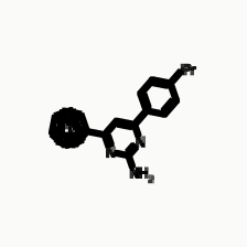 CC(C)c1ccc(-c2cc([C]34[CH]5[CH]6[CH]7[CH]3[Fe]6754389%10[CH]4[CH]3[CH]8[CH]9[CH]4%10)nc(N)n2)cc1